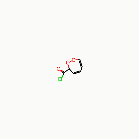 O=C(Cl)C1C=CC=COO1